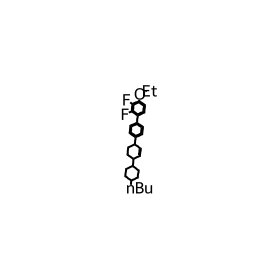 CCCCC1CCC(C2C=CC(c3ccc(-c4ccc(OCC)c(F)c4F)cc3)CC2)CC1